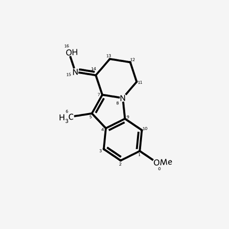 COc1ccc2c(C)c3n(c2c1)CCCC3=NO